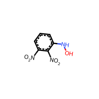 O=[N+]([O-])c1cccc(NO)c1[N+](=O)[O-]